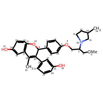 COCC(COc1ccc(C2Oc3ccc(O)cc3C(C)=C2c2cccc(O)c2)cc1)N1CCC(C)C1